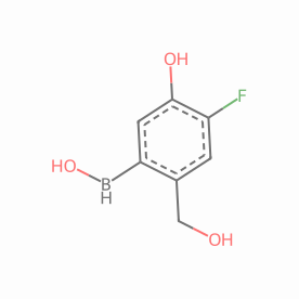 OBc1cc(O)c(F)cc1CO